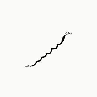 [CH2]OC#CCCCCCCCCCCCCCCCCCCCC